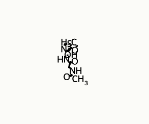 CC(=O)NCC(=O)NO.CC=O.c1cscn1